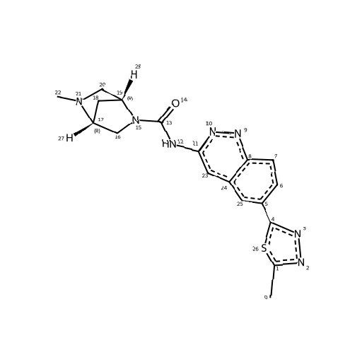 Cc1nnc(-c2ccc3nnc(NC(=O)N4C[C@H]5C[C@@H]4CN5C)cc3c2)s1